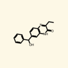 CCc1nc2ccc(C(O)c3ccccc3)cc2[nH]c1=O